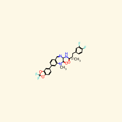 C[C@@H](Cc1ccc(F)c(F)c1)C(=O)NC1N=Cc2ccc(-c3ccc4c(c3)OC(F)(F)O4)cc2N(C)C1=O